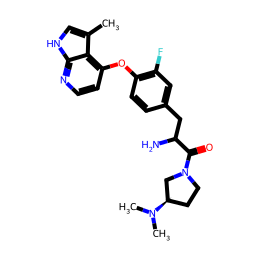 Cc1c[nH]c2nccc(Oc3ccc(CC(N)C(=O)N4CC[C@@H](N(C)C)C4)cc3F)c12